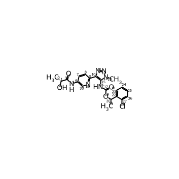 C[C@@H](O)C(=O)Nc1ccc(-c2nnn(C)c2NC(=O)O[C@H](C)c2ccccc2Cl)nc1